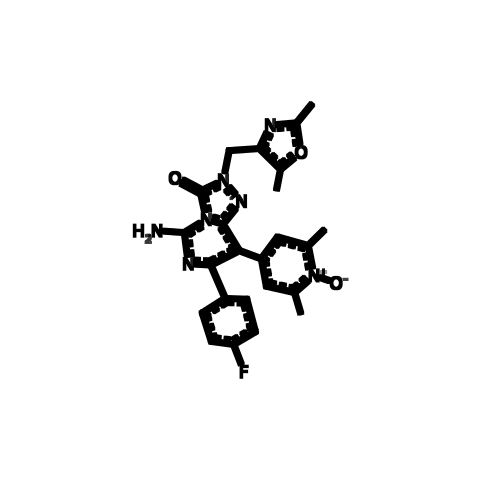 Cc1nc(Cn2nc3c(-c4cc(C)[n+]([O-])c(C)c4)c(-c4ccc(F)cc4)nc(N)n3c2=O)c(C)o1